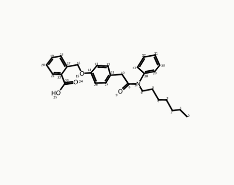 CCCCCCCN(C(=O)Cc1ccc(OCc2ccccc2C(=O)O)cc1)c1ccccc1